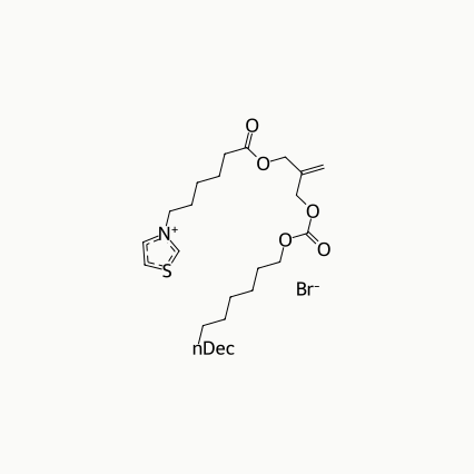 C=C(COC(=O)CCCCC[n+]1ccsc1)COC(=O)OCCCCCCCCCCCCCCCC.[Br-]